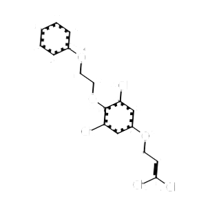 ClC(Cl)=CCOc1cc(Cl)c(OCCOc2ccccc2)c(Cl)c1